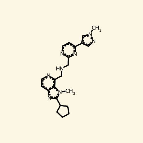 Cn1cc(-c2ccnc(CNCc3nccc4nc(C5CCCC5)n(C)c34)n2)cn1